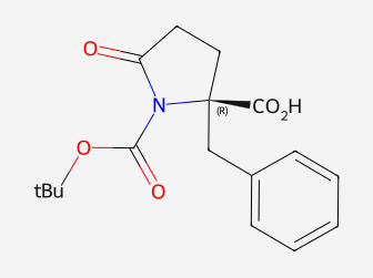 CC(C)(C)OC(=O)N1C(=O)CC[C@@]1(Cc1ccccc1)C(=O)O